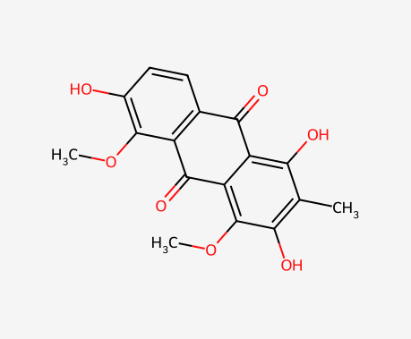 COc1c(O)ccc2c1C(=O)c1c(OC)c(O)c(C)c(O)c1C2=O